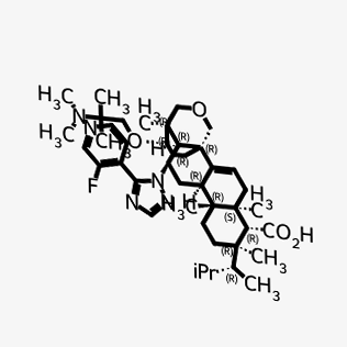 CC(C)[C@@H](C)[C@@]1(C)CC[C@]2(C)[C@H]3CC[C@@H]4[C@@]5(COC[C@]4(C)[C@@H](OCC(C)(C)N(C)C)[C@H](n4ncnc4-c4ccncc4F)C5)C3=CC[C@@]2(C)[C@@H]1C(=O)O